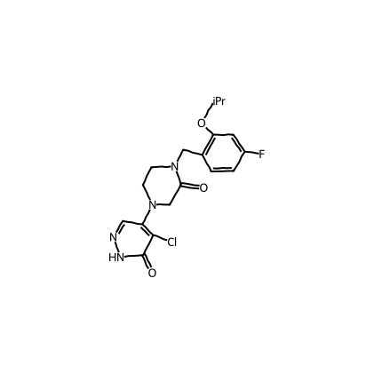 CC(C)Oc1cc(F)ccc1CN1CCN(c2cn[nH]c(=O)c2Cl)CC1=O